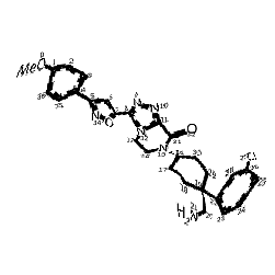 COc1ccc(-c2cc(-c3nnc4n3CCN([C@H]3CC[C@@](CN)(c5cccc(Cl)c5)CC3)C4=O)on2)cc1